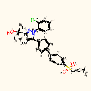 CCS(=O)(=O)c1ccc(-c2ccc(-c3cc(C(C)(C)O)nn3-c3ccccc3Cl)cc2)cc1